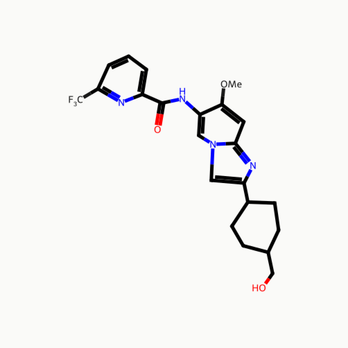 COc1cc2nc(C3CCC(CO)CC3)cn2cc1NC(=O)c1cccc(C(F)(F)F)n1